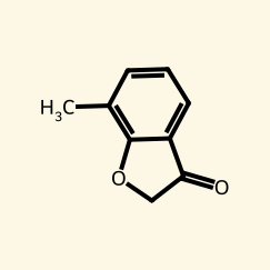 Cc1cccc2c1OCC2=O